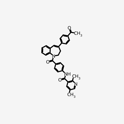 CC(=O)c1ccc(C2=Cc3ccccc3N(C(=O)c3ccc(NC(=O)c4cc(C)cnc4C)cc3)CC2)cc1